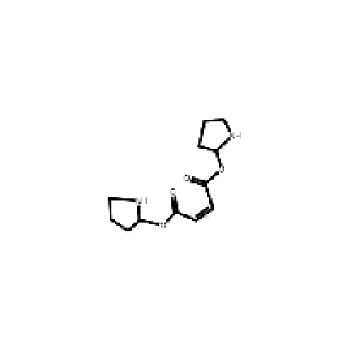 O=C(/C=C\C(=O)OC1CCCN1)OC1CCCN1